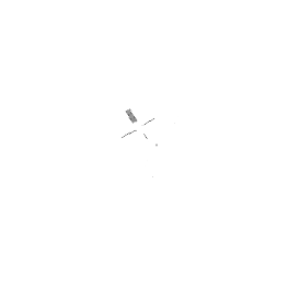 O=P(O)(O)O.[Ag].[Zn].[Zr]